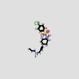 CCCN(C)CC#C[C@H]1CC[C@H](N(C)S(=O)(=O)c2ccc(Cl)cc2)CC1